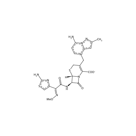 CON=C(C(=O)N[C@@H]1C(=O)N2C(C(=O)[O-])=C(C[n+]3ccc(N)n4nc(C)cc43)CS[C@@H]12)c1csc(N)n1